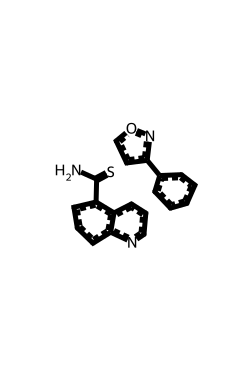 NC(=S)c1cccc2ncccc12.c1ccc(-c2ccon2)cc1